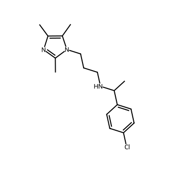 Cc1nc(C)n(CCCNC(C)c2ccc(Cl)cc2)c1C